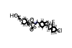 O=C1S/C(=C\c2ccc3c(cnn3Cc3ccc(Cl)cc3CF)c2)C(=O)N1CC1(F)CCN(CCO)CC1